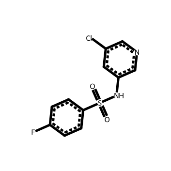 O=S(=O)(Nc1cncc(Cl)c1)c1ccc(F)cc1